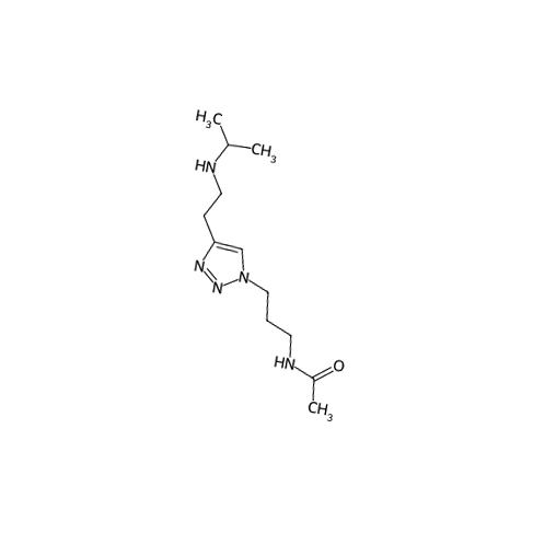 CC(=O)NCCCn1cc(CCNC(C)C)nn1